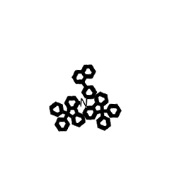 c1ccc(C2(c3ccccc3)c3ccccc3-c3c(N(c4cccc(-c5cccc6ccccc56)c4)c4cccc5c4-c4ccccc4C5(c4ccccc4)c4ccccc4)cccc32)cc1